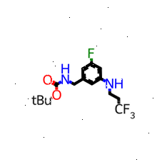 CC(C)(C)OC(=O)NCc1cc(F)cc(NCCC(F)(F)F)c1